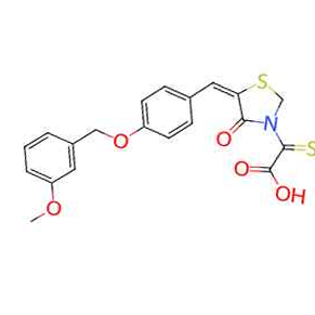 COc1cccc(COc2ccc(C=C3SCN(C(=S)C(=O)O)C3=O)cc2)c1